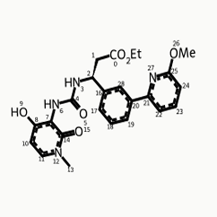 CCOC(=O)C[C@H](NC(=O)Nc1c(O)ccn(C)c1=O)c1cccc(-c2cccc(OC)n2)c1